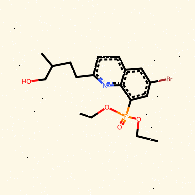 CCOP(=O)(OCC)c1cc(Br)cc2ccc(CCC(C)CO)nc12